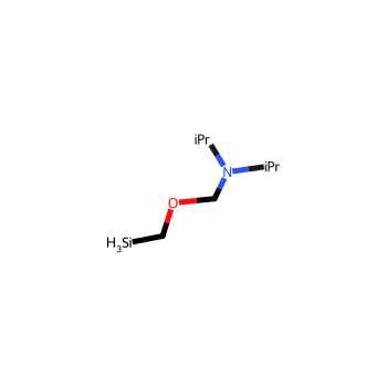 CC(C)N(COC[SiH3])C(C)C